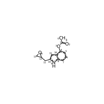 CC(=O)Oc1cccc2[nH]c(CC3CO3)cc12